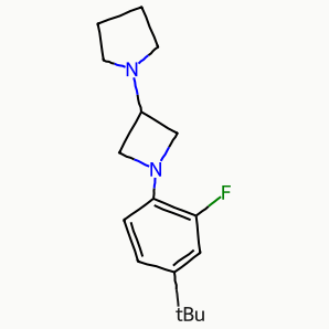 CC(C)(C)c1ccc(N2CC(N3CCCC3)C2)c(F)c1